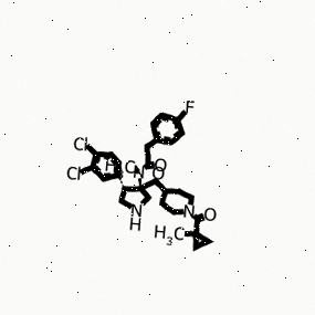 CN(C(=O)Cc1ccc(F)cc1)[C@@]1(C(=O)C2CCN(C(=O)C3(C)CC3)CC2)CNC[C@@H]1c1ccc(Cl)c(Cl)c1